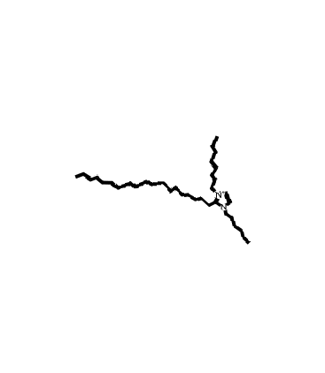 CCCCCCCCCCCCCCCCCCCc1n(CCCCCC)cc[n+]1CCCCCCCC